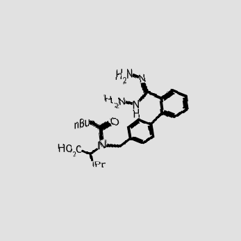 CCCCC(=O)N(Cc1ccc(-c2ccccc2/C(=N/N)NN)cc1)C(C(=O)O)C(C)C